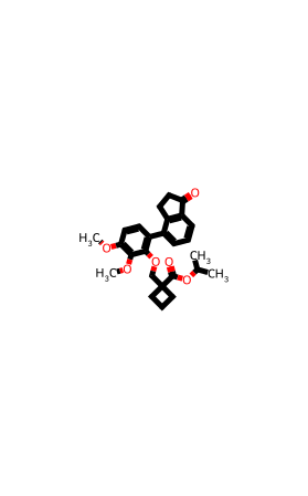 COc1ccc(-c2cccc3c2CCC3=O)c(OCC2(C(=O)OC(C)C)CCC2)c1OC